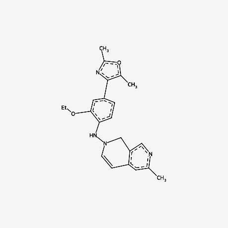 CCOc1cc(-c2nc(C)oc2C)ccc1NN1C=Cc2cc(C)ncc2C1